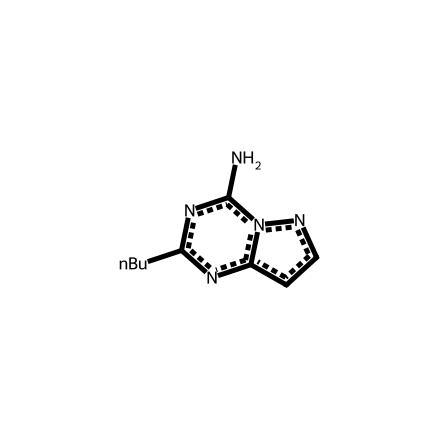 CCCCc1nc(N)n2nccc2n1